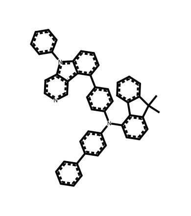 CC1(C)c2ccccc2-c2c(N(c3ccc(-c4ccccc4)cc3)c3ccc(-c4cccc5c4c4cnccc4n5-c4ccccc4)cc3)cccc21